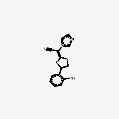 N#C/C(=C1/SCC(c2ccccc2O)S1)n1ccnc1